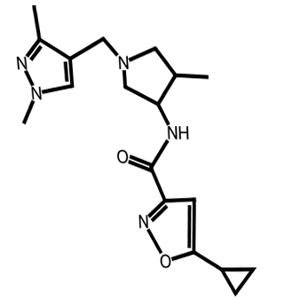 Cc1nn(C)cc1CN1CC(C)C(NC(=O)c2cc(C3CC3)on2)C1